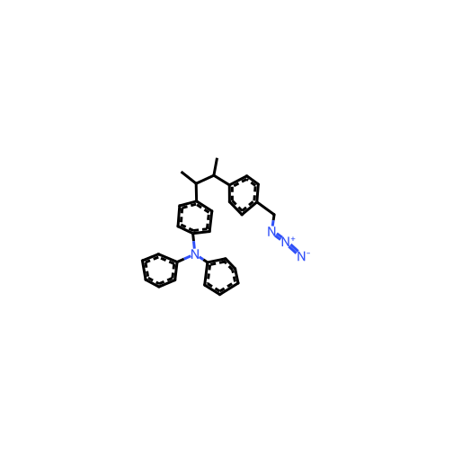 CC(c1ccc(CN=[N+]=[N-])cc1)C(C)c1ccc(N(c2ccccc2)c2ccccc2)cc1